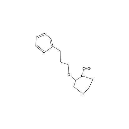 O=[C]N1CCOCC1OCCCc1ccccc1